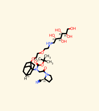 CC(C)(C)OC(=O)N(CC(=O)N1CCC[C@H]1C#N)C12CC3C[C@H](CC(OCCOCCNC[C@H](O)[C@@H](O)[C@H](O)[C@H](O)CO)(C3)C1)C2